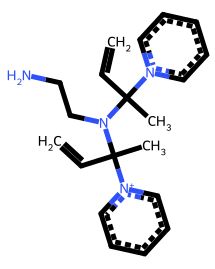 C=CC(C)(N(CCN)C(C)(C=C)[n+]1ccccc1)[n+]1ccccc1